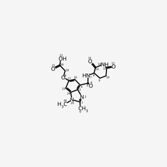 Cc1nc2c(C(=O)NC3CCC(=O)NC3=O)cc(OCC(=O)O)cc2n1C